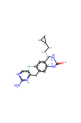 Nc1nccc(Cc2cc3c(cc2F)[C@H](CCC2CC2)NC(=O)N3)n1